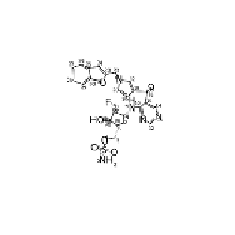 NS(=O)(=O)OC[C@H]1C[C@@H](Nc2ncncc2C(=O)c2ccn(Cc3cc4ccccc4o3)c2)[C@@H](F)[C@@H]1O